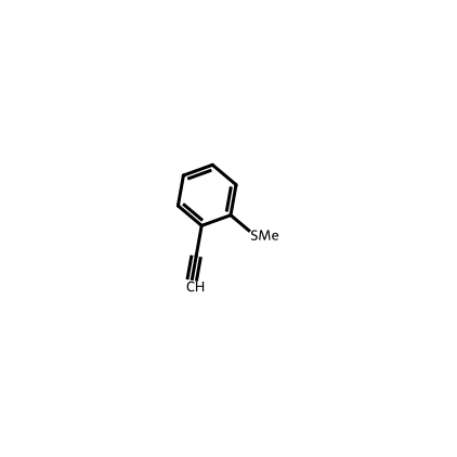 C#Cc1ccccc1SC